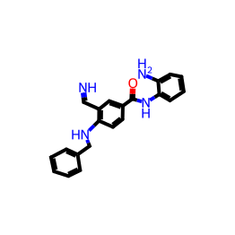 N=Cc1cc(C(=O)Nc2ccccc2N)ccc1NCc1ccccc1